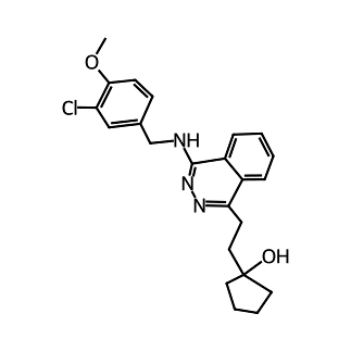 COc1ccc(CNc2nnc(CCC3(O)CCCC3)c3ccccc23)cc1Cl